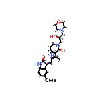 COc1ccc2c(c1)/C(=C/c1[nH]c3c(c1C)C(=O)N(C[C@@H](O)CN1CCOCC1)CC3)C(=O)N2